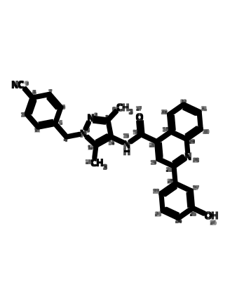 Cc1nn(Cc2ccc(C#N)cc2)c(C)c1NC(=O)c1cc(-c2cccc(O)c2)nc2ccccc12